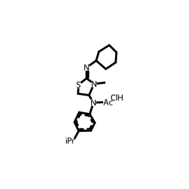 CC(=O)N(c1ccc(C(C)C)cc1)C1CSC(=NC2CCCCC2)N1C.Cl